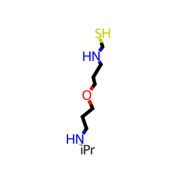 CC(C)NCCCOCCCNCS